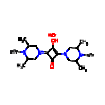 CCCN1C(C)CN(c2c(O)c(=[N+]3CC(C)N(CCC)C(C)C3)c2=O)CC1C.[OH-]